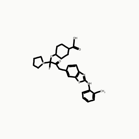 Cc1ccccc1Nc1nc2ccc(CC(=O)C(F)(OC3CCC(C(=O)O)CC3)N3CCCC3)cc2s1